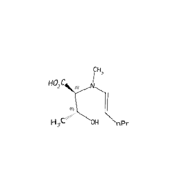 CCCC=CN(C)[C@H](C(=O)O)[C@@H](C)O